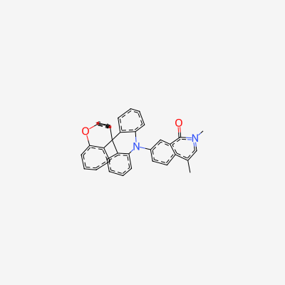 Cc1cn(C)c(=O)c2cc(N3c4ccccc4C4(c5ccccc5Oc5ccccc54)c4ccccc43)ccc12